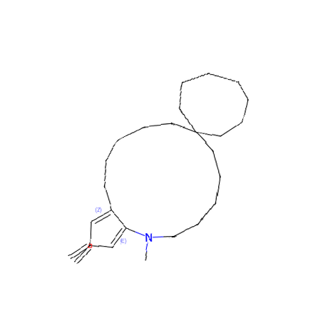 C=C/C=C1/CCCCCC2(CCCCCCC2)CCCCCN(C)/C1=C/C=C